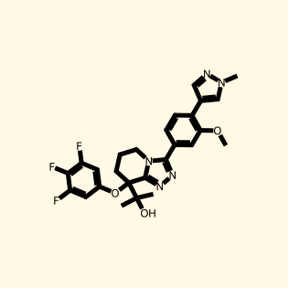 COc1cc(-c2nnc3n2CCCC3(Oc2cc(F)c(F)c(F)c2)C(C)(C)O)ccc1-c1cnn(C)c1